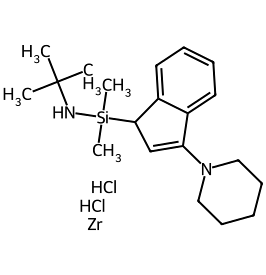 CC(C)(C)N[Si](C)(C)C1C=C(N2CCCCC2)c2ccccc21.Cl.Cl.[Zr]